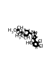 CC(C)(C)OC(=O)N1CCC(c2nnc3n2CC(c2c(O)ccc(Cl)c2Cl)C3)CC1(C)C